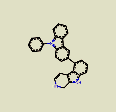 C1=Cc2c([nH]c3cccc(-c4ccc5c(c4)c4ccccc4n5-c4ccccc4)c23)CN1